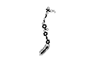 CCC1(COCCCCCCOc2ccc(C(=O)Oc3ccc(C#Cc4ccc(OC(F)(F)C(F)(F)C(F)(F)C(F)(F)C(F)(F)C(F)(F)F)cc4)cc3)cc2)COC1